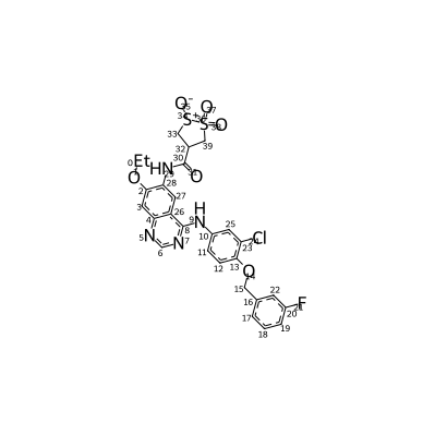 CCOc1cc2ncnc(Nc3ccc(OCc4cccc(F)c4)c(Cl)c3)c2cc1NC(=O)C1C[S+]([O-])S(=O)(=O)C1